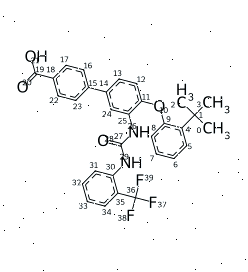 CC(C)(C)c1ccccc1Oc1ccc(-c2ccc(C(=O)O)cc2)cc1NC(=O)Nc1ccccc1C(F)(F)F